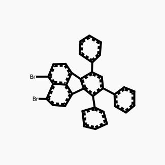 Brc1ccc2c3c(ccc(Br)c13)-c1c(-c3ccccc3)c(-c3ccccc3)cc(-c3ccccc3)c1-2